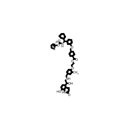 Cc1cc(CNCC(O)c2ccc(O)c3[nH]c(=O)ccc23)ccc1OCCOC(=O)c1ccc(COc2cccc(C(NC(=O)O[C@H]3CN4CCC3CC4)c3ccccc3)c2)cc1